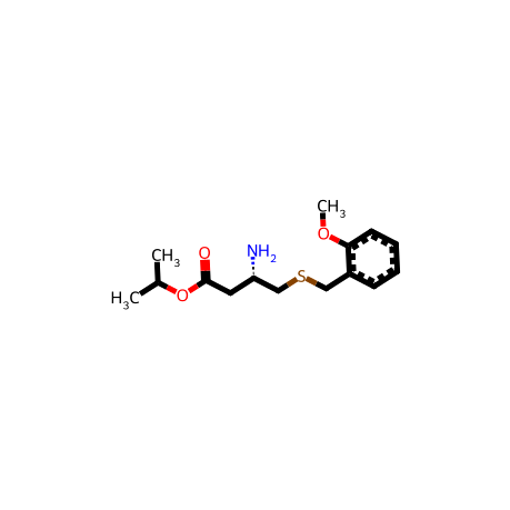 COc1ccccc1CSC[C@@H](N)CC(=O)OC(C)C